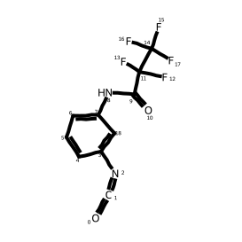 O=C=Nc1cccc(NC(=O)C(F)(F)C(F)(F)F)c1